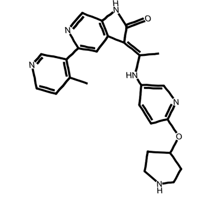 CC(Nc1ccc(OC2CCNCC2)nc1)=C1C(=O)Nc2cnc(-c3cnccc3C)cc21